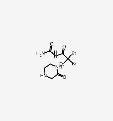 CCC(Br)(CC)C(=O)NC(N)=O.O=C1CNCCN1